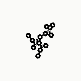 c1ccc(-c2ccc(N(c3ccccc3)c3cc(N(c4ccccc4)c4ccc(-c5ccccc5)cc4)c4sc5ccc(-c6ccc7c(c6)c6ccccc6n7-c6cc7ccccc7c7ccccc67)cc5c4c3)cc2)cc1